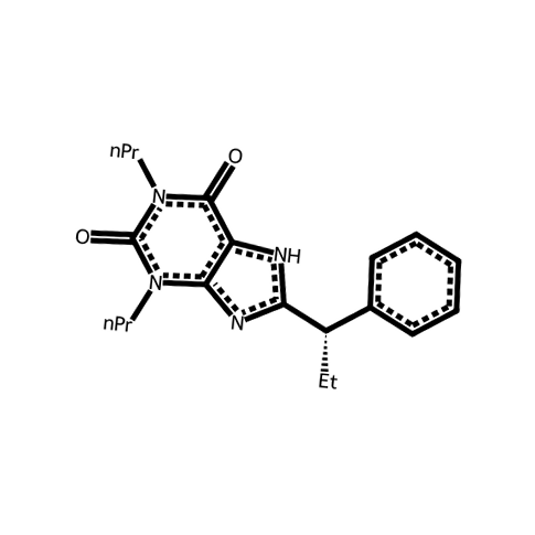 CCCn1c(=O)c2[nH]c([C@@H](CC)c3ccccc3)nc2n(CCC)c1=O